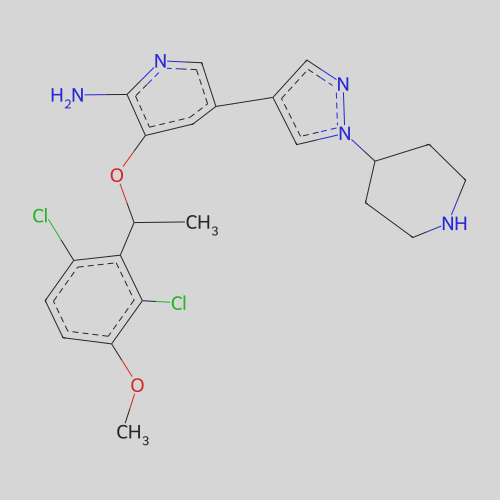 COc1ccc(Cl)c(C(C)Oc2cc(-c3cnn(C4CCNCC4)c3)cnc2N)c1Cl